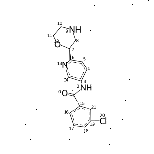 O=C(Nc1ccc([C@@H]2CNCCO2)nc1)c1cccc(Cl)c1